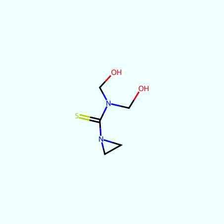 OCN(CO)C(=S)N1CC1